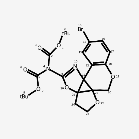 CC(C)(C)OC(=O)N(C(=O)OC(C)(C)C)C1=NC23c4cc(Br)ccc4OCC24OCCC43O1